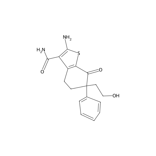 NC(=O)c1c(N)sc2c1CCC(CCO)(c1ccccc1)C2=O